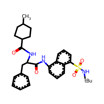 CC1CCC(C(=O)NC(Cc2ccccc2)C(=O)Nc2cccc3c(S(=O)(=O)NC(C)(C)C)cccc23)CC1